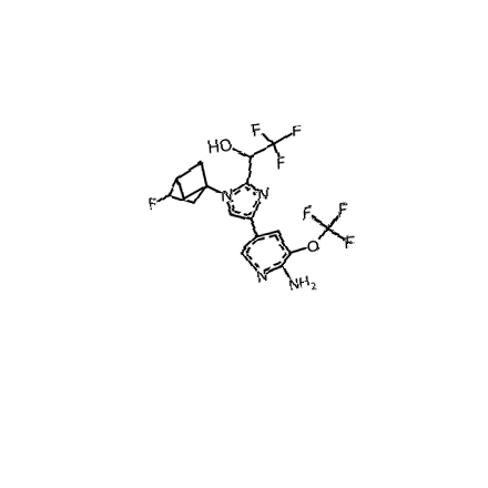 Nc1ncc(-c2cn(C34CC(F)C(C3)C4)c(C(O)C(F)(F)F)n2)cc1OC(F)(F)F